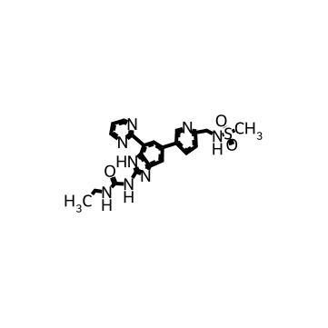 CCNC(=O)Nc1nc2cc(-c3ccc(CNS(C)(=O)=O)nc3)cc(-c3ncccn3)c2[nH]1